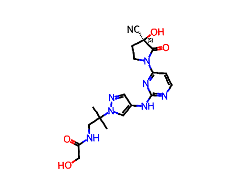 CC(C)(CNC(=O)CO)n1cc(Nc2nccc(N3CC[C@](O)(C#N)C3=O)n2)cn1